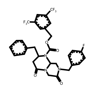 O=C1CN2C(=O)CC(Cc3ccccc3)N(C(=O)OCc3cc(C(F)(F)F)cc(C(F)(F)F)c3)C2CN1Cc1ccc(F)cc1